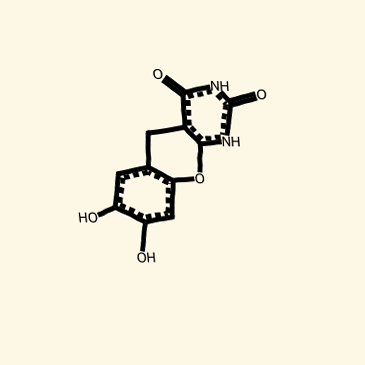 O=c1[nH]c2c(c(=O)[nH]1)Cc1cc(O)c(O)cc1O2